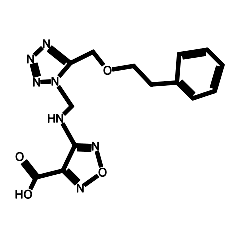 O=C(O)c1nonc1NCn1nnnc1COCCc1ccccc1